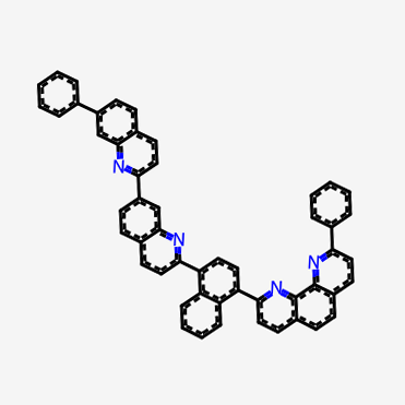 c1ccc(-c2ccc3ccc(-c4ccc5ccc(-c6ccc(-c7ccc8ccc9ccc(-c%10ccccc%10)nc9c8n7)c7ccccc67)nc5c4)nc3c2)cc1